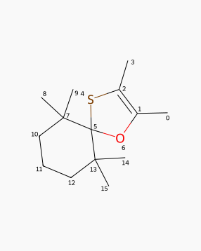 CC1=C(C)SC2(O1)C(C)(C)CCCC2(C)C